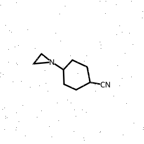 N#CC1CCC(N2CC2)CC1